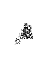 COc1cc(C2CCN(C)CC2)ccc1Nc1ncc(Cl)c(Nc2ccc3nccnc3c2NS(C)(=O)=O)n1